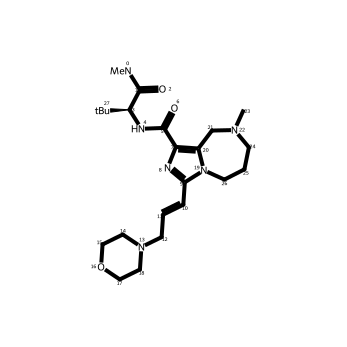 CNC(=O)[C@@H](NC(=O)c1nc(/C=C/CN2CCOCC2)n2c1CN(C)CCC2)C(C)(C)C